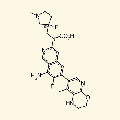 Cc1c(-c2cc3cc(N(C[C@]4(F)CCN(C)C4)C(=O)O)ncc3c(N)c2F)cnc2c1NCCO2